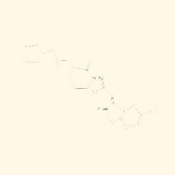 Cc1c(C=C2C(=O)Nc3ccc(Cl)cc32)[nH]c2c1C(=O)N(CC(O)CN1CCOCC1)CC2